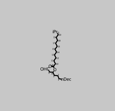 CCCCCCCCCCCCCC(CC=O)OC(=O)CCCCCCCCCCCC(C)C